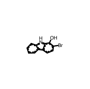 Oc1c(Br)ccc2c1[nH]c1ccccc12